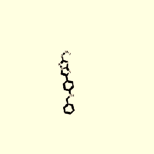 NSc1nn2cc(-c3ccc(NCc4ccccc4)cc3)nc2s1